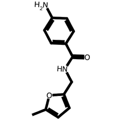 Cc1ccc(CNC(=O)c2ccc(N)cc2)o1